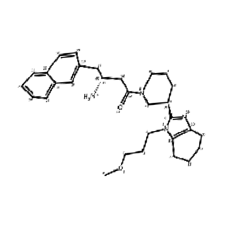 COCCCn1c([C@@H]2CCCN(C(=O)C[C@H](N)Cc3ccc4ccccc4c3)C2)nc2c1CCCC2